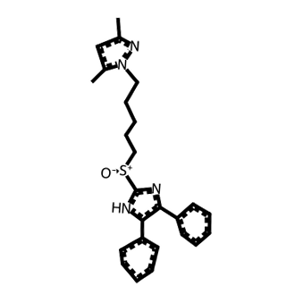 Cc1cc(C)n(CCCCC[S@+]([O-])c2nc(-c3ccccc3)c(-c3ccccc3)[nH]2)n1